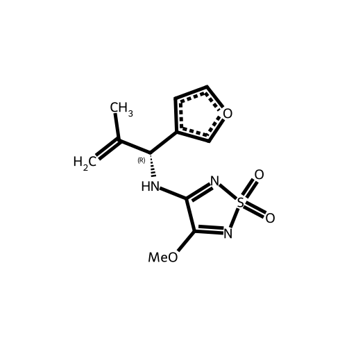 C=C(C)[C@@H](NC1=NS(=O)(=O)N=C1OC)c1ccoc1